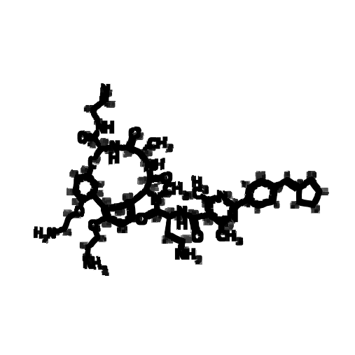 Cc1nc(-c2ccc(C=C3CCCC3)cc2)nc(C)c1C(=O)N[C@@H](CCN)C(=O)N(C)[C@@H]1C(=O)N[C@@H](C)C(=O)N[C@H](C(=O)NCC#N)Cc2ccc(OCCN)c(c2)-c2cc1ccc2OCCN